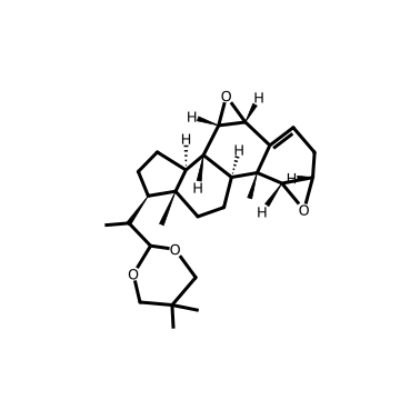 CC(C1OCC(C)(C)CO1)[C@H]1CC[C@H]2[C@@H]3[C@@H]4O[C@@H]4C4=CC[C@@H]5O[C@@H]5[C@]4(C)[C@H]3CC[C@]12C